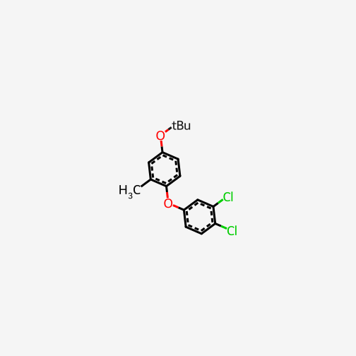 Cc1cc(OC(C)(C)C)ccc1Oc1ccc(Cl)c(Cl)c1